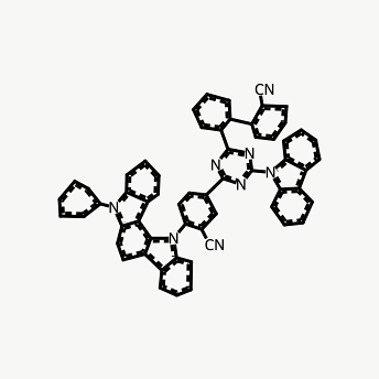 N#Cc1ccccc1-c1ccccc1-c1nc(-c2ccc(-n3c4ccccc4c4ccc5c(c6ccccc6n5-c5ccccc5)c43)c(C#N)c2)nc(-n2c3ccccc3c3ccccc32)n1